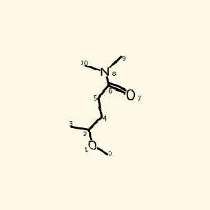 COC(C)CCC(=O)N(C)C